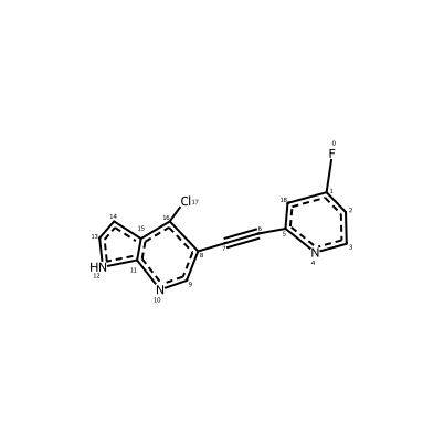 Fc1ccnc(C#Cc2cnc3[nH]ccc3c2Cl)c1